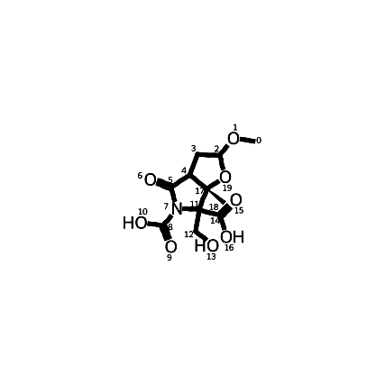 COC1CC2C(=O)N(C(=O)O)C(CO)(C(=O)O)[C@@]2(C)O1